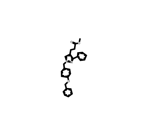 COC(=O)CCc1cn(Cc2ccc(OCc3ccccc3)cc2)nc1-c1ccccc1